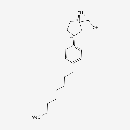 COCCCCCCCc1ccc([C@H]2CC[C@](C)(CO)C2)cc1